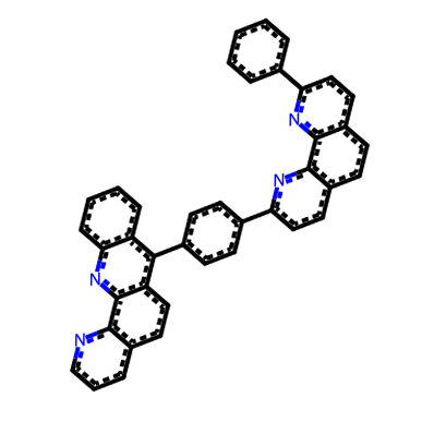 c1ccc(-c2ccc3ccc4ccc(-c5ccc(-c6c7ccccc7nc7c6ccc6cccnc67)cc5)nc4c3n2)cc1